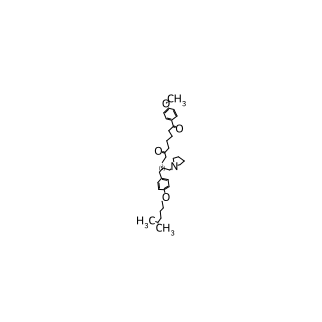 COc1ccc(C(=O)CCCCC(=O)CC[C@@H](Cc2ccc(OCCCCC(C)C)cc2)CN2CCCC2)cc1